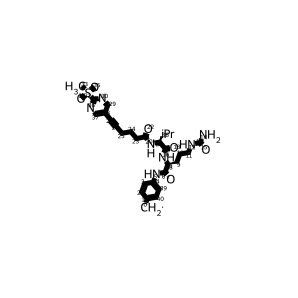 [CH2]c1ccc(NC(=O)[C@H](CCCNC(N)=O)NC(=O)[C@@H](NC(=O)CCCC#Cc2cnc(S(C)(=O)=O)nc2)C(C)C)cc1